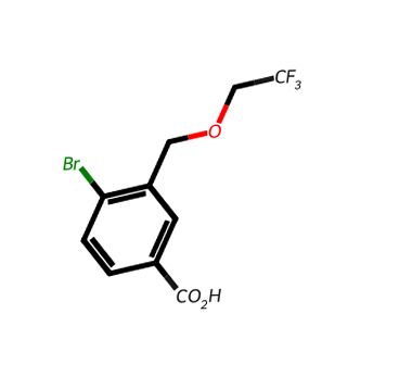 O=C(O)c1ccc(Br)c(COCC(F)(F)F)c1